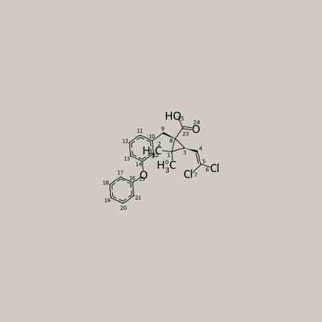 CC1(C)[C@H](C=C(Cl)Cl)[C@@]1(Cc1cccc(Oc2ccccc2)c1)C(=O)O